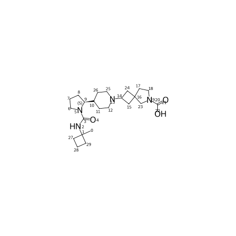 CC1(NC(=O)N2CCC[C@H]2C2CCN(C3CC4(CCN(C(=O)O)C4)C3)CC2)CCC1